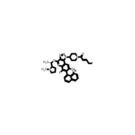 Cc1cc2c(nc(O[C@@H](C)C3CCCN3C)c3nnn(C4CCN(C(=O)/C=C/CF)CC4)c32)c(F)c1-c1cccc2cccc(C#N)c12